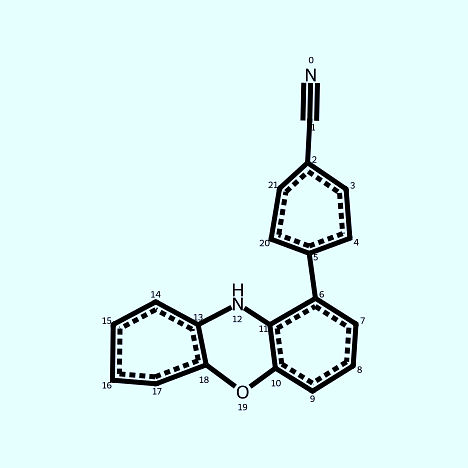 N#Cc1ccc(-c2cccc3c2Nc2ccccc2O3)cc1